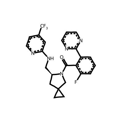 O=C(c1c(F)cccc1-c1ncccn1)N1CC2(CC2)C[C@H]1CNc1cc(C(F)(F)F)ccn1